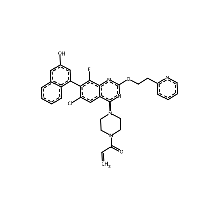 C=CC(=O)N1CCN(c2nc(OCCc3ccccn3)nc3c(F)c(-c4cc(O)cc5ccccc45)c(Cl)cc23)CC1